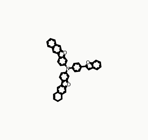 C1=Cc2cc3c(cc2CC1)oc1cc(N(c2ccc(-c4cc5ccccc5o4)cc2)c2ccc4c(c2)oc2cc5ccccc5cc24)ccc13